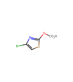 O=C(O)Oc1nc(Br)cs1